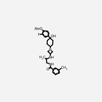 C=C(CNC(=O)c1cccc(C)c1)NC1CN(C2CCC(O)(c3ccc(OC)c(F)c3)CC2)C1